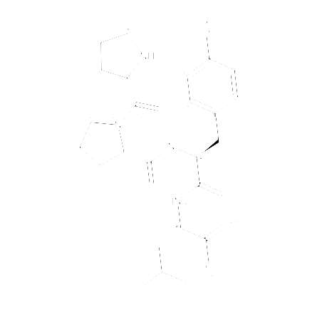 CC(C)C[C@H](NC(=O)[C@H](Cc1ccc(O)cc1)NC(=O)[C@@H]1CCCN1C(=O)[C@@H]1CCCN1)C(=O)O